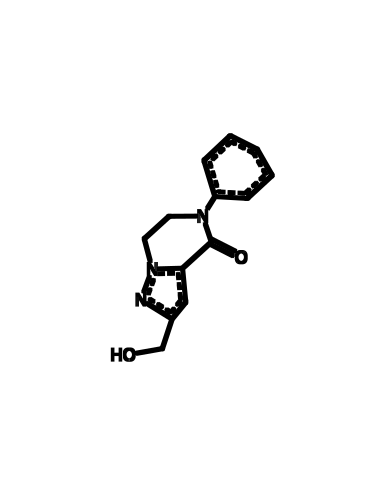 O=C1c2cc(CO)nn2CCN1c1ccccc1